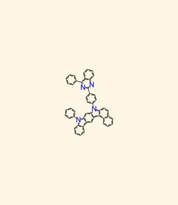 c1ccc(-c2nc(-c3ccc(-n4c5cc6c(cc5c5c7ccccc7ccc54)c4ccccc4n6-c4ccccc4)cc3)nc3ccccc23)cc1